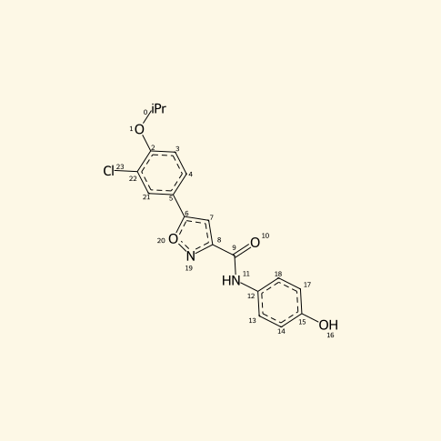 CC(C)Oc1ccc(-c2cc(C(=O)Nc3ccc(O)cc3)no2)cc1Cl